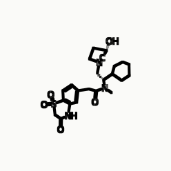 CN(C(=O)Cc1ccc2c(c1)NC(=O)CS2(=O)=O)[C@H](CN1CC[C@H](O)C1)C1CCCCC1